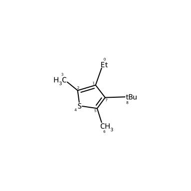 CCc1c(C)sc(C)c1C(C)(C)C